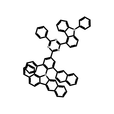 c1ccc(-c2nc(-c3cc(-c4ccccc4)c(-n4c5cc6ccccc6cc5c5ccc6ccccc6c54)c(-c4ccc5ccccc5c4)c3)nc(-c3cccc4c3c3ccccc3n4-c3ccccc3)n2)cc1